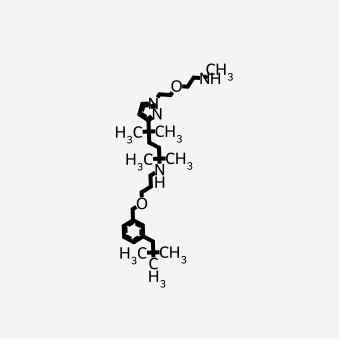 CNCCOCCn1ccc(C(C)(C)CCC(C)(C)NCCCOCc2cccc(CC(C)(C)C)c2)n1